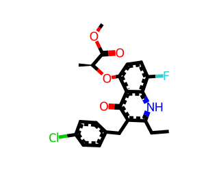 CCc1[nH]c2c(F)ccc(O[C@@H](C)C(=O)OC)c2c(=O)c1Cc1ccc(Cl)cc1